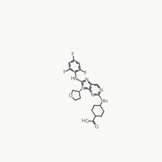 O=C(O)C1CCC(Nc2ncc3nc(Nc4c(F)cc(F)cc4F)n([C@H]4CCOC4)c3n2)CC1